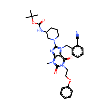 Cn1c(=O)n(CCOc2ccccc2)c(=O)c2c1nc(N1CCCC(NC(=O)OC(C)(C)C)C1)n2Cc1ccccc1C#N